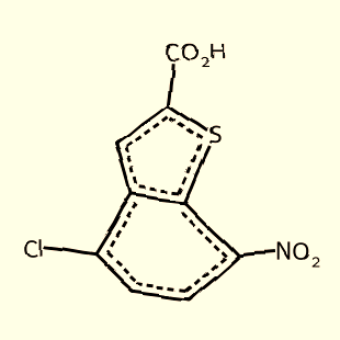 O=C(O)c1cc2c(Cl)ccc([N+](=O)[O-])c2s1